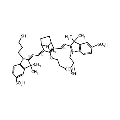 CN1C2CCC1/C(=C\C=C1\N(CCCS)c3ccc(S(=O)(=O)O)cc3C1(C)C)C(OCCC(=O)O)=C2/C=C/C1=[N+](CCCS)c2ccc(S(=O)(=O)O)cc2C1(C)C